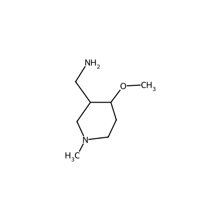 COC1CCN(C)CC1CN